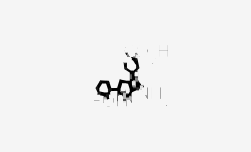 Nc1nn(C2CCN(C(=O)O)CC2)c2cc(-c3cccc(F)c3O)nnc12